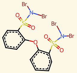 O=S(=O)(c1ccccc1Oc1ccccc1S(=O)(=O)N(Br)Br)N(Br)Br